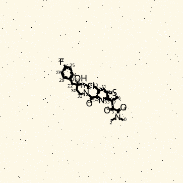 CN(C)C(=O)C(=O)c1csc2cc(Cl)c(C(=O)N3CCC(O)(Cc4ccc(F)cc4)CC3)nc12